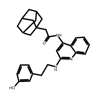 O=C(CC12CC3CC(CC(C3)C1)C2)Nc1cc(NCCc2cccc(O)c2)nc2ccccc12